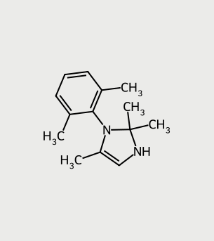 CC1=CNC(C)(C)N1c1c(C)cccc1C